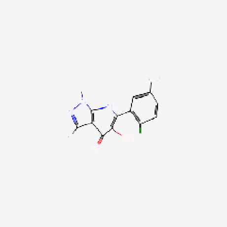 COc1ccc(Cl)c(-c2[nH]c3c(c(C(F)(F)F)nn3C)c(=O)c2O)c1